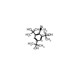 CC(C)(O)c1cc(C(C)(C)O)c(C#N)c(C(C)(C)O)c1